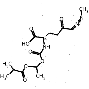 CN=[N+]=CC(=O)CC[C@H](NC(=O)OC(C)OC(=O)C(C)C)C(=O)O